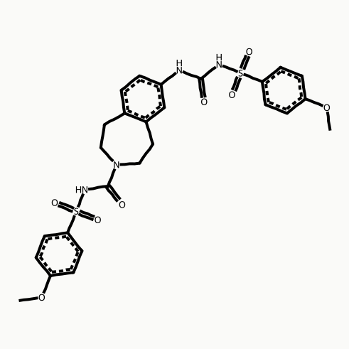 COc1ccc(S(=O)(=O)NC(=O)Nc2ccc3c(c2)CCN(C(=O)NS(=O)(=O)c2ccc(OC)cc2)CC3)cc1